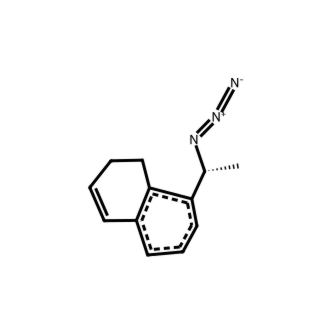 C[C@@H](N=[N+]=[N-])c1cccc2c1CCC=C2